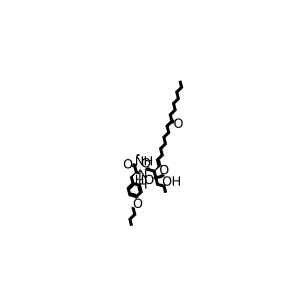 CCCCCCCC(=O)CCCCCCC=C[C@H](C(=O)N[C@@H](Cc1ccc(OCCCC)cc1)C(=O)NC)[C@@](O)(CCC)C(=O)O